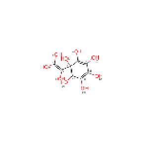 OC(O)=C(O)C1(O)C(O)=C(O)C(O)=C(O)C1O